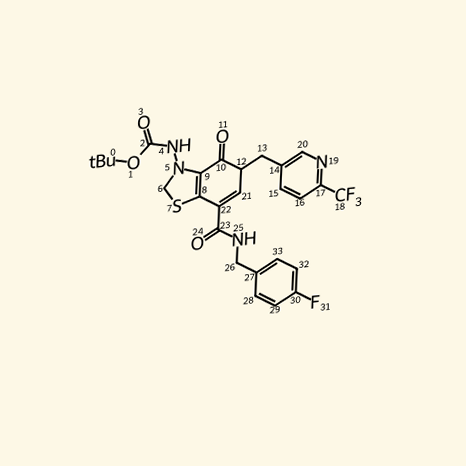 CC(C)(C)OC(=O)NN1CSC2=C1C(=O)C(Cc1ccc(C(F)(F)F)nc1)C=C2C(=O)NCc1ccc(F)cc1